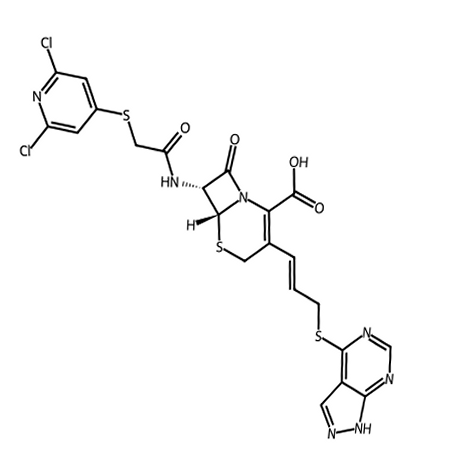 O=C(CSc1cc(Cl)nc(Cl)c1)N[C@@H]1C(=O)N2C(C(=O)O)=C(/C=C/CSc3ncnc4[nH]ncc34)CS[C@H]12